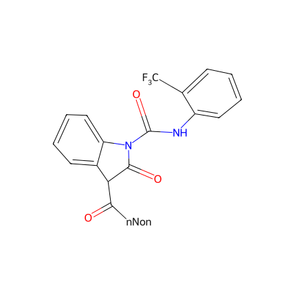 CCCCCCCCCC(=O)C1C(=O)N(C(=O)Nc2ccccc2C(F)(F)F)c2ccccc21